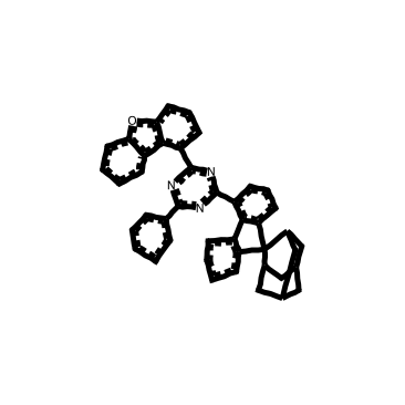 c1ccc(-c2nc(-c3cccc4c3-c3ccccc3C43C4CC5CC(C4)CC3C5)nc(-c3cccc4oc5ccccc5c34)n2)cc1